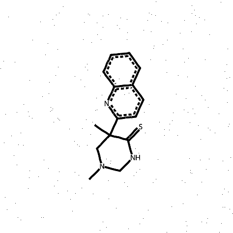 CN1CNC(=S)C(C)(c2ccc3ccccc3n2)C1